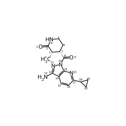 C[C@@H]1C(=O)NCC[C@@H]1C(=O)n1nc(N)c2ccc(C3CC3)nc21